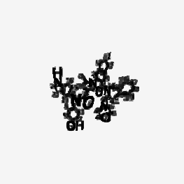 Cc1cc(C(=O)N(c2ccc(O)cc2)c2ccc3c(c2)CCN3)cn1-c1cc2c(cc1C(=O)N1Cc3ccccc3C[C@H]1CN1CCOCC1)CCC2